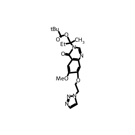 CCC(C)(OC(=O)C(C)(C)C)n1cnc2cc(OCCn3ccnn3)c(OC)cc2c1=O